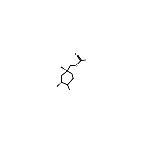 CC(=O)OC[C@]1(C)CCC(C)[C@@H](C)C1